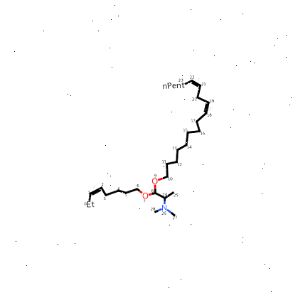 CC/C=C\CCCCOC(OCCCCCCCC/C=C\C/C=C\CCCCC)C(C)N(C)C